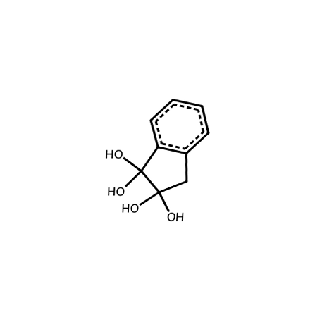 OC1(O)Cc2ccccc2C1(O)O